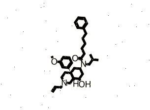 C=CCN1CC[C@@]2(c3cccc(OC)c3)C[C@H](N(CC(C)C)C(=O)CCCCCc3ccccc3)CC(O)[C@@H]2C1